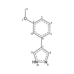 COc1cccc(-c2cn[nH]c2)c1